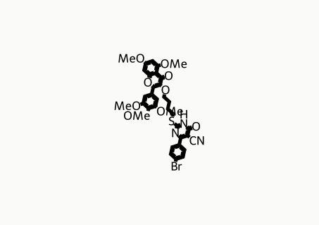 COc1cc(OC)c2c(=O)c(OCCCCSc3nc(-c4ccc(Br)cc4)c(C#N)c(=O)[nH]3)c(-c3cc(OC)c(OC)c(OC)c3)oc2c1